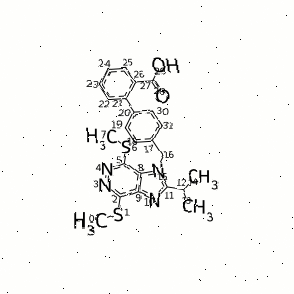 CSc1nnc(SC)c2c1nc(C(C)C)n2Cc1ccc(-c2ccccc2C(=O)O)cc1